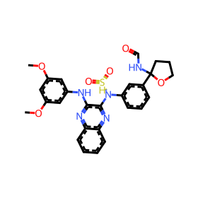 COc1cc(Nc2nc3ccccc3nc2N(c2cccc(C3(NC=O)CCCO3)c2)[SH](=O)=O)cc(OC)c1